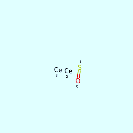 O=S.[Ce].[Ce]